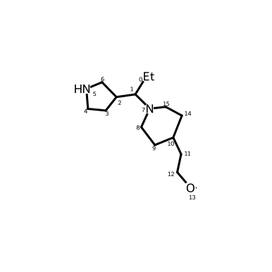 CCC(C1CCNC1)N1CCC(CC[O])CC1